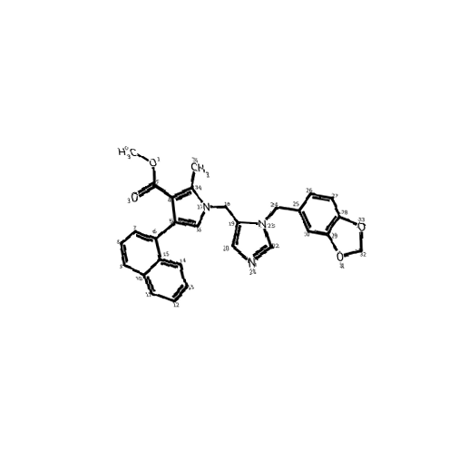 COC(=O)c1c(-c2cccc3ccccc23)cn(Cc2cncn2Cc2ccc3c(c2)OCO3)c1C